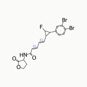 O=C(/C=C/C=C/C1C(F)C1c1ccc(Br)c(Br)c1)NC1CCOC1=O